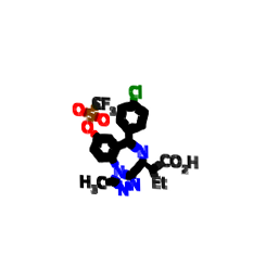 CCC(C(=O)O)[C@@H]1N=C(c2ccc(Cl)cc2)c2cc(OS(=O)(=O)C(F)(F)F)ccc2-n2c(C)nnc21